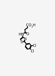 O=C(O)CCC(=O)Nc1csc(-c2ccc(Cl)c(Cl)c2)n1